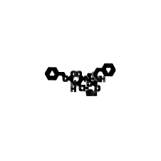 C[C@@H](NC(=O)OCc1ccccc1)C(=O)NC[C@H](Cc1ccccc1)NC(=O)OC(C)(C)C